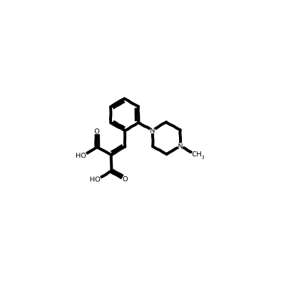 CN1CCN(c2ccccc2C=C(C(=O)O)C(=O)O)CC1